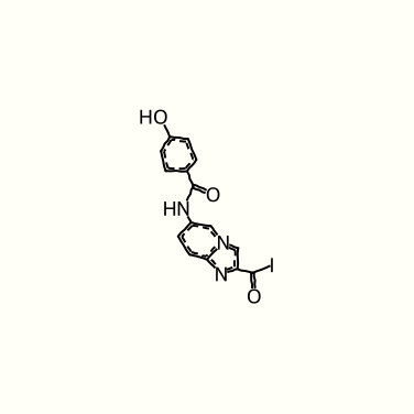 O=C(Nc1ccc2nc(C(=O)I)cn2c1)c1ccc(O)cc1